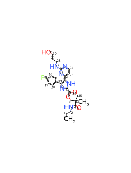 C=CCNC(=O)C1(C)COC(c2nc(-c3ccc(F)cc3)c(-c3ccnc(NCCCO)n3)[nH]2)OC1